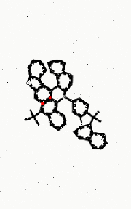 CC(C)(C)c1ccc(N(c2ccc3c(c2)-c2ccc4ccccc4c2C3(C)C)c2ccc3ccccc3c2-c2cccc3oc4ccccc4c23)c2ccccc12